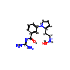 NC(N)=NC(=O)c1cccc(-n2cccc2C/C=N\O)c1